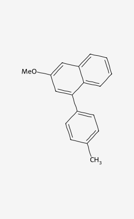 COc1cc(-c2ccc(C)cc2)c2ccccc2c1